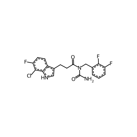 NC(=O)N(Cc1cccc(F)c1F)C(=O)CCc1c[nH]c2c(Cl)c(F)ccc12